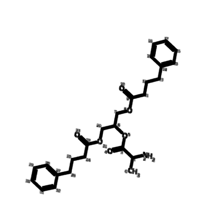 CC(N)C(=O)OC(COC(=O)CCCc1ccccc1)COC(=O)CCCc1ccccc1